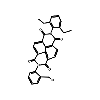 CCc1cccc(CC)c1N1C(=O)c2ccc3c4c(ccc(c24)C1=O)C(=O)N(c1ccccc1CO)C3=O